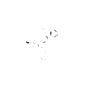 C#CC(C)(C)c1nn(C[C@H]2CCCO2)/c(=N/C(=O)c2cc(Cl)ccc2OC)s1